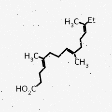 CCC(C)=CCCC(C)=CCCC(C)=CCCC(=O)O